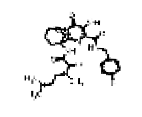 CN(C)CCN(C)C(=O)C(=O)NC12CCC(CC1)Cn1c2nc(C(=O)NCc2ccc(F)cc2)c(O)c1=O